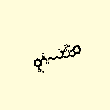 CC(C)(C)OC(=O)N(CCCCNC(=O)c1cccc(C(F)(F)F)c1)CC1Cc2ccccc2O1